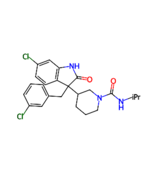 CC(C)NC(=O)N1CCCC(C2(Cc3cccc(Cl)c3)C(=O)Nc3cc(Cl)ccc32)C1